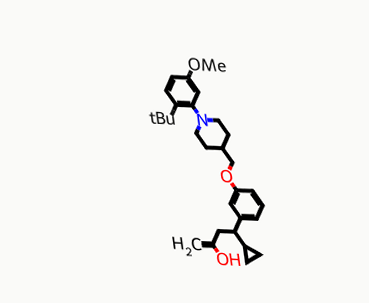 C=C(O)CC(c1cccc(OCC2CCN(c3cc(OC)ccc3C(C)(C)C)CC2)c1)C1CC1